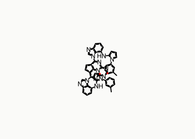 Cc1cccc(-n2cccc2Nc2cccc3ncn(-c4nc5ncnc6nc(-n7cnc8cccc(Nc9cccn9-c9cccc(C)c9)c87)c7ccc4c7n56)c23)c1